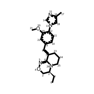 CC[C@H]1CON=C2/C(=C/c3ccc(-n4cnc(C)c4)c(OC)c3)CCCN21